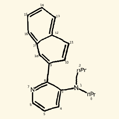 CCCN(CCC)c1cccnc1-c1ccc2ccccc2c1